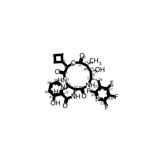 C[C@H]1NC(=O)C(C2CCC2)OC(=O)[C@H](C)[C@H](O)[C@H](Cc2c(F)nc(F)c(F)c2F)NC(=O)[C@H]1NC(=O)c1ncccc1O